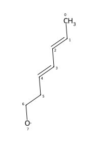 C/C=C/C=C/CC[O]